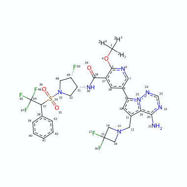 [2H]C([2H])([2H])Oc1ncc(-c2cc(CN3CC(F)(F)C3)c3c(N)ncnn23)cc1C(=O)N[C@@H]1CN(S(=O)(=O)C(c2ccccc2)C(F)(F)F)C[C@@H]1F